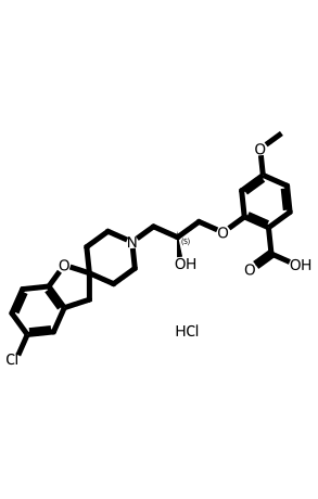 COc1ccc(C(=O)O)c(OC[C@@H](O)CN2CCC3(CC2)Cc2cc(Cl)ccc2O3)c1.Cl